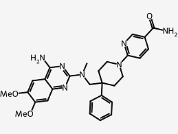 COc1cc2nc(N(C)CC3(c4ccccc4)CCN(c4ccc(C(N)=O)cn4)CC3)nc(N)c2cc1OC